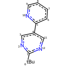 CC(C)(C)c1ncc(-c2ccccn2)cn1